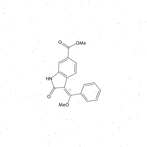 COC(=O)c1ccc2c(c1)NC(=O)/C2=C(\OC)c1ccccc1